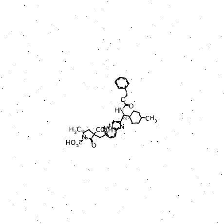 CC1CCC([C@H](NC(=O)OCc2ccccc2)c2cn3nc(CC4(C(=O)O)C[C@@H](C)N(C(=O)O)C4=O)ccc3n2)CC1